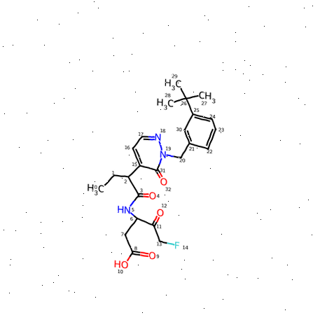 CCC(C(=O)NC(CC(=O)O)C(=O)CF)c1ccnn(Cc2cccc(C(C)(C)C)c2)c1=O